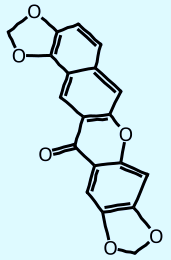 O=c1c2cc3c(cc2oc2cc4ccc5c(c4cc12)OCO5)OCO3